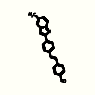 Cc1ccc2nc(-c3ccc(/C=C/c4ccc(N=O)cc4)cc3)cn2c1